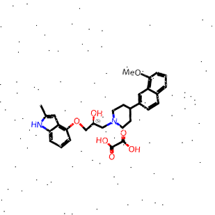 COc1cccc2ccc(C3CCN(C[C@H](O)COc4cccc5[nH]c(C)cc45)CC3)cc12.O=C(O)C(=O)O